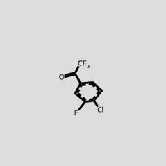 O=C(c1ccc(Cl)c(F)c1)C(F)(F)F